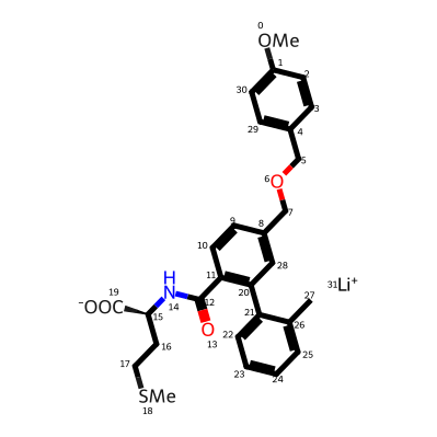 COc1ccc(COCc2ccc(C(=O)N[C@@H](CCSC)C(=O)[O-])c(-c3ccccc3C)c2)cc1.[Li+]